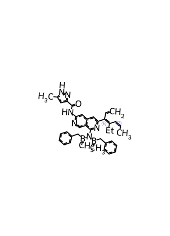 C=C/C(=C(\C=C/C)CC)c1cc2cc(NC(=O)c3cc(C)[nH]n3)ncc2c(N(B(C)Cc2ccccc2)B(C)Cc2ccccc2)n1